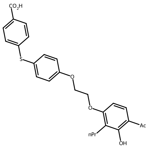 CCCc1c(OCCOc2ccc(Sc3ccc(C(=O)O)cc3)cc2)ccc(C(C)=O)c1O